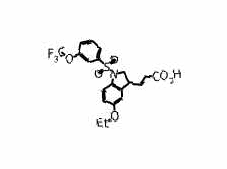 CCOc1ccc2c(c1)C(CCC(=O)O)CN2S(=O)(=O)c1cccc(OC(F)(F)F)c1